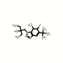 CCC(O)(CC)Cn1nnc2c1C(C)C(F)C(C(C)(C)C)=C2